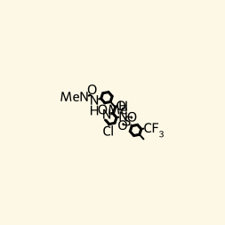 CNC(=O)Nc1cccc(C(=O)c2ncc(Cl)cc2NS(=O)(=O)c2ccc(C)c(C(F)(F)F)c2)c1OC